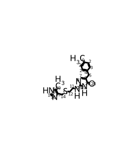 Cc1ccc(Cc2cnc(NCCSCc3nc[nH]c3C)[nH]c2=O)cc1